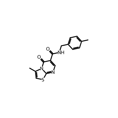 Cc1ccc(CNC(=O)c2cnc3scc(C)n3c2=O)cc1